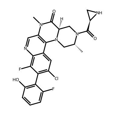 C[C@@H]1CN2c3c(cnc4c(F)c(-c5c(O)cccc5F)c(Cl)cc34)N(C)C(=O)[C@H]2CN1C(=O)[C@H]1CN1